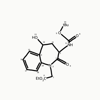 CCOC(=O)CN1C(=O)C(NC(=O)OC(C)(C)C)CC(O)c2ccccc21